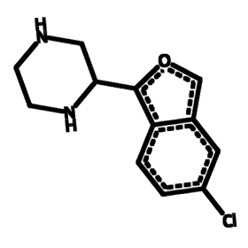 Clc1ccc2c(C3CNCCN3)occ2c1